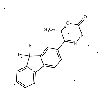 C[C@@H]1OC(=O)NN=C1c1ccc2c(c1)C(F)(F)c1ccccc1-2